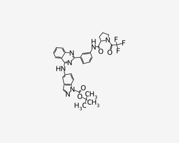 CC(C)(C)OC(=O)n1ncc2cc(Nc3nc(-c4cccc(NC(=O)C5CCCN5C(=O)C(F)(F)F)c4)nc4ccccc34)ccc21